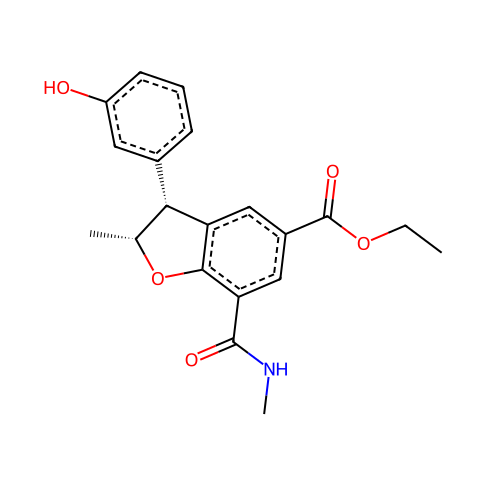 CCOC(=O)c1cc(C(=O)NC)c2c(c1)[C@@H](c1cccc(O)c1)[C@@H](C)O2